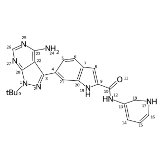 CC(C)(C)n1nc(-c2ccc3cc(C(=O)NC4=CC=CNC4)[nH]c3c2)c2c(N)ncnc21